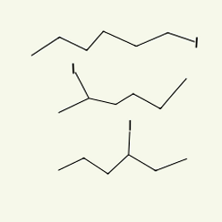 CCCC(I)CC.CCCCC(C)I.CCCCCCI